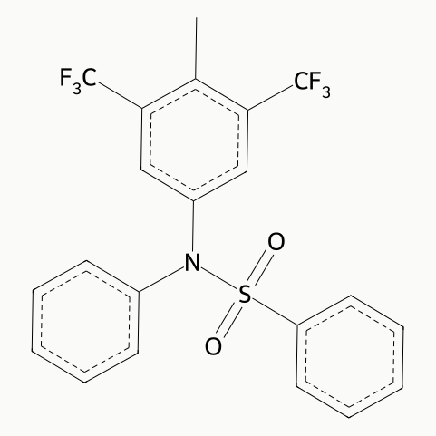 Cc1c(C(F)(F)F)cc(N(c2ccccc2)S(=O)(=O)c2ccccc2)cc1C(F)(F)F